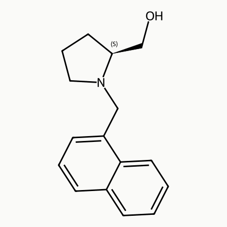 OC[C@@H]1CCCN1Cc1cccc2ccccc12